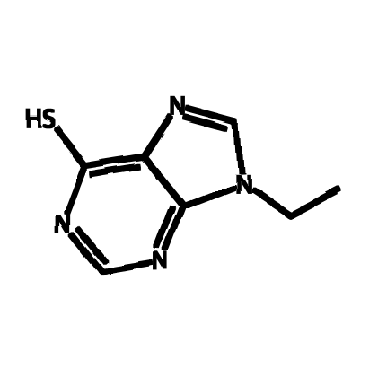 CCn1cnc2c(S)ncnc21